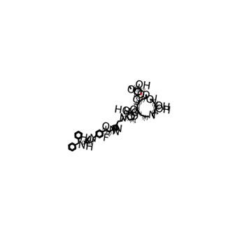 CO[C@H](c1ccc(N2C[C@@H]3[C@H](C2)[C@H]3N=C(c2ccccc2)c2ccccc2)cc1)[C@@H](CF)n1cc(CCN(C)[C@H]2C[C@@H](C)O[C@@H](O[C@@H]3[C@@H](C)[C@H](O[C@H]4C[C@@](C)(OC)[C@@H](O)[C@H](C)O4)[C@@H](C)C(=O)O[C@H](I)[C@@](C)(O)[C@H](O)[C@@H](C)N(C)C[C@H](C)C[C@@]3(C)O)[C@@H]2O)nn1